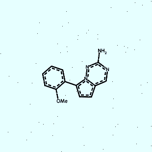 COc1ccccc1-c1ccc2cnc(N)nn12